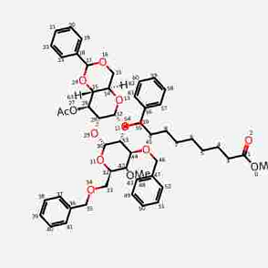 COC(=O)CCCCCCCCO[C@H]1O[C@@H]2COC(c3ccccc3)O[C@H]2[C@H](OC(C)=O)[C@H]1O[C@H]1O[C@H](COCc2ccccc2)[C@@H](OC)[C@H](OCc2ccccc2)[C@H]1OCc1ccccc1